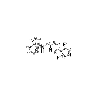 Fc1cncc(F)c1-c1ccc(CN[C@@H]2CCCc3cccnc32)nc1